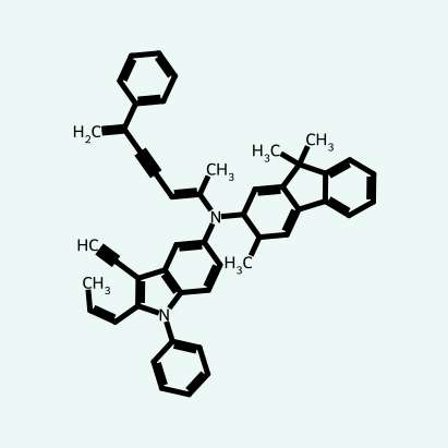 C#Cc1c(/C=C\C)n(-c2ccccc2)c2ccc(N(/C(C)=C/C#CC(=C)c3ccccc3)C3C=C4C(=CC3C)c3ccccc3C4(C)C)cc12